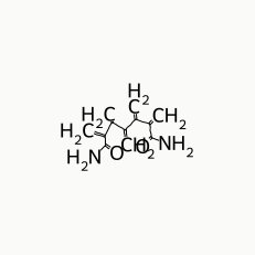 C=C(C(=C)C(=C)C(N)=O)C(=C)C(=C)C(N)=O